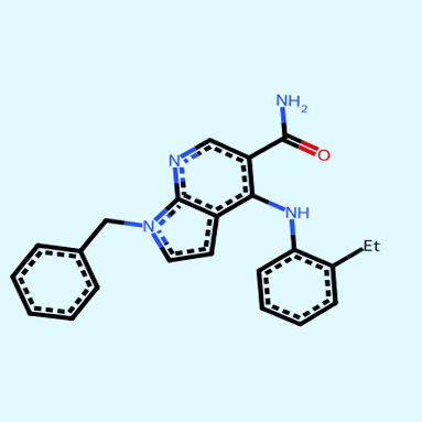 CCc1ccccc1Nc1c(C(N)=O)cnc2c1ccn2Cc1ccccc1